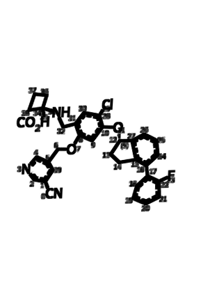 N#Cc1cncc(COc2cc(O[C@H]3CCc4c(-c5ccccc5F)cccc43)c(Cl)cc2CNC2(C(=O)O)CCC2)c1